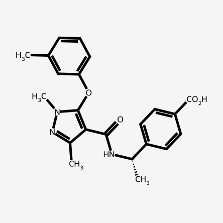 Cc1cccc(Oc2c(C(=O)N[C@@H](C)c3ccc(C(=O)O)cc3)c(C)nn2C)c1